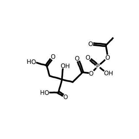 CC(=O)OP(=O)(O)OC(=O)CC(O)(CC(=O)O)C(=O)O